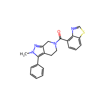 Cn1nc2c(c1-c1ccccc1)CCN(C(=O)c1cccc3scnc13)C2